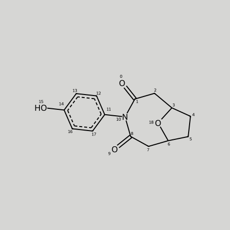 O=C1CC2CCC(CC(=O)N1c1ccc(O)cc1)O2